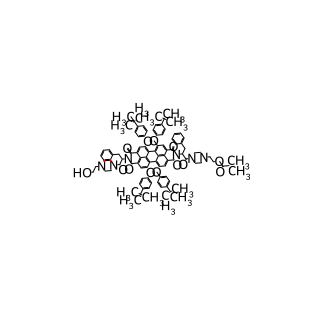 CC(C)C(=O)OCCN1CCN(C(=O)C(Cc2ccccc2)N2C(=O)c3cc(Oc4ccc(C(C)(C)C)cc4)c4c5c(Oc6ccc(C(C)(C)C)cc6)cc6c7c(cc(Oc8ccc(C(C)(C)C)cc8)c(c8c(Oc9ccc(C(C)(C)C)cc9)cc(c3c48)C2=O)c75)C(=O)N(C(Cc2ccccc2)C(=O)N2CCN(CCO)CC2)C6=O)CC1